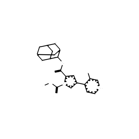 CC(C)(C)OC(=O)n1cc(-c2ccncc2Cl)cc1C(=O)NC1C2CC3CC(C2)CC1C3